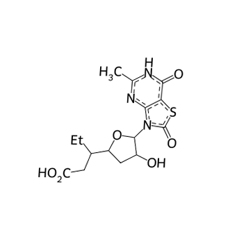 CCC(CC(=O)O)C1CC(O)C(n2c(=O)sc3c(=O)[nH]c(C)nc32)O1